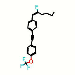 CCCC/C(F)=C\c1ccc(C#Cc2ccc(OC(F)(F)F)cc2)cc1